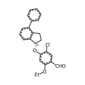 CCOc1cc(O[C@H]2CCc3c(-c4ccccc4)cccc32)c(Cl)cc1C=O